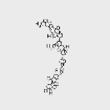 Cn1cc(-c2ccnc(N3CCn4c(cc5c4CC(C)(C)C5)C3=O)c2CO)cc(Nc2ccc(N3CCN(C4CN(Cc5cc6c(cc5F)C(=O)N(C5CCC(=O)NC5=O)C6=O)C4)CC3)cn2)c1=O